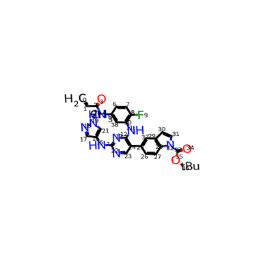 C=CC(=O)Nc1ccc(F)c(Nc2nc(Nc3cnn(C)c3)ncc2-c2ccc3c(ccn3C(=O)OC(C)(C)C)c2)c1